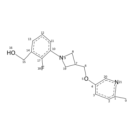 Cc1ccc(OCC2CN(c3cccc(CO)c3F)C2)cn1